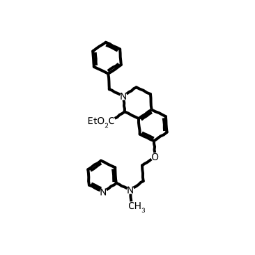 CCOC(=O)C1c2cc(OCCN(C)c3ccccn3)ccc2CCN1Cc1ccccc1